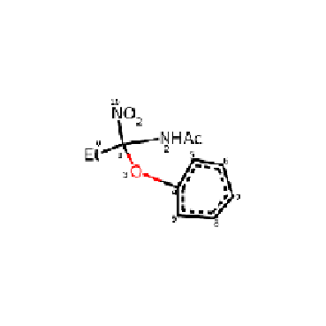 CCC(NC(C)=O)(Oc1ccccc1)[N+](=O)[O-]